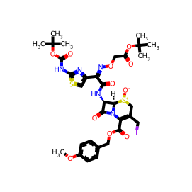 COc1ccc(COC(=O)C2=C(CI)C[S+]([O-])[C@@H]3[C@H](NC(=O)/C(=N\OCC(=O)OC(C)(C)C)c4csc(NC(=O)OC(C)(C)C)n4)C(=O)N23)cc1